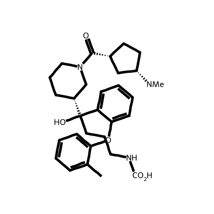 CN[C@H]1CC[C@@H](C(=O)N2CCC[C@@H](C(O)(CCCNC(=O)O)c3ccccc3Oc3ccccc3C)C2)C1